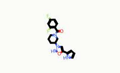 O=C(c1ccc(F)cc1F)N1CCCC(N2C=C(c3ccc[nH]3)ON2)C1